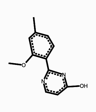 COc1cc(C)ccc1-c1nccc(O)n1